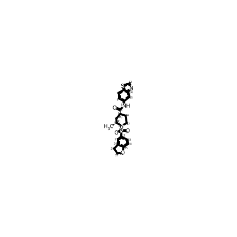 C[C@@H]1C[C@@H](C(=O)Nc2ccc3scnc3c2)CCN1S(=O)(=O)c1ccc2c(c1)CCO2